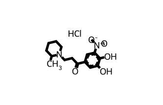 CC1CCCCN1CCC(=O)c1cc(O)c(O)c([N+](=O)[O-])c1.Cl